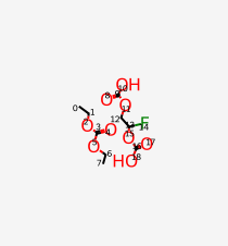 CCOC(=O)OCC.O=C(O)OCC(F)OC(=O)O